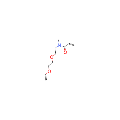 C=COCCOCCN(C)C(=O)C=C